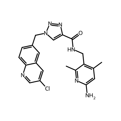 Cc1cc(N)nc(C)c1CNC(=O)c1cn(Cc2ccc3ncc(Cl)cc3c2)nn1